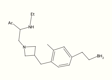 BCCc1ccc(CC2CN(CC(NCC)C(C)=O)C2)c(C)c1